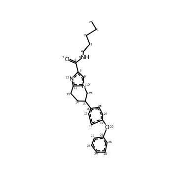 CCCCCNC(=O)c1cn2c(n1)CCC(c1ccc(Oc3ccccc3)cc1)C2